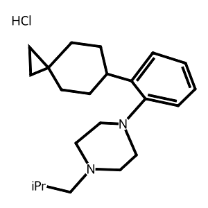 CC(C)CN1CCN(c2ccccc2C2CCC3(CC2)CC3)CC1.Cl